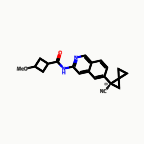 COC1CC(C(=O)Nc2cc3cc([C@@]4(C#N)CC45CC5)ccc3cn2)C1